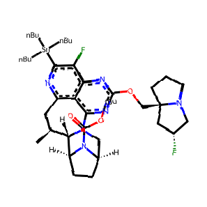 CCC[CH2][Sn]([CH2]CCC)([CH2]CCC)[c]1nc2c3c(nc(OC[C@@]45CCCN4C[C@H](F)C5)nc3c1F)N1C[C@H]3CC[C@@H]([C@@H]1[C@@H](C)C2)N3C(=O)OC(C)(C)C